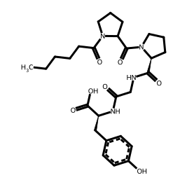 CCCCCC(=O)N1CCCC1C(=O)N1CCC[C@H]1C(=O)NCC(=O)N[C@@H](Cc1ccc(O)cc1)C(=O)O